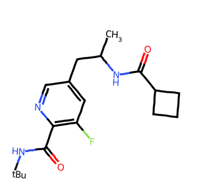 CC(Cc1cnc(C(=O)NC(C)(C)C)c(F)c1)NC(=O)C1CCC1